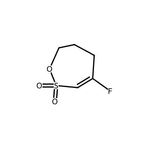 O=S1(=O)C=C(F)CCCO1